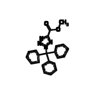 COC(=O)c1nnn(C(c2ccccc2)(c2ccccc2)c2ccccc2)n1